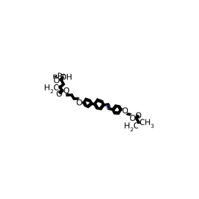 C=C(C)C(=O)OCCOc1ccc(/C=C/c2ccc(-c3ccc(OCCCCOC(=O)C(=C)CC(O)OCCC)cc3)cc2)cc1